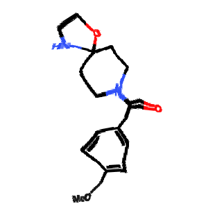 COc1ccc(C(=O)N2CCC3(CC2)NCCO3)cc1